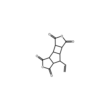 C=CC1C2C(=O)OC(=O)C2C2C3C(=O)OC(=O)C3C12